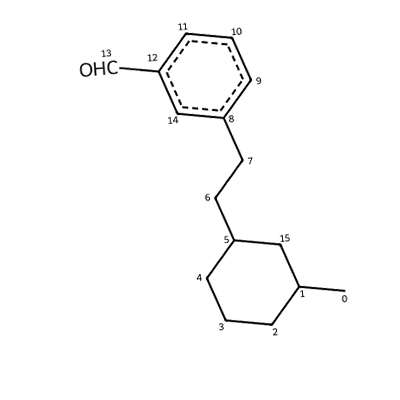 CC1CCCC(CCc2cccc(C=O)c2)C1